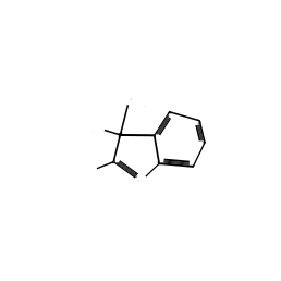 CC1=Nc2ccccc2C1(C)N